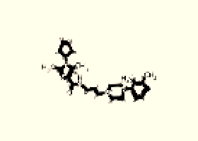 Cc1cccc(N2CCN(CCCNC(=O)c3nc(C)n(C4CCCC4)c3C)CC2)c1C